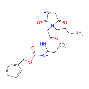 NCCC[N+]1(CC(=O)NC(CC(=O)O)NC(=O)OCc2ccccc2)C(=O)CNC1=O